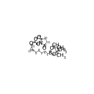 CC1(C)OB(CCCCCC2C[C@H]2OC(=O)ON2C(=O)CCC2=O)OC1(C)C